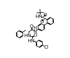 CC(C)(C)NS(=O)(=O)c1ccccc1-c1ccc(NC(=O)[C@@H](Cc2ccccc2)NC(=O)Nc2ccc(Cl)cc2)cc1